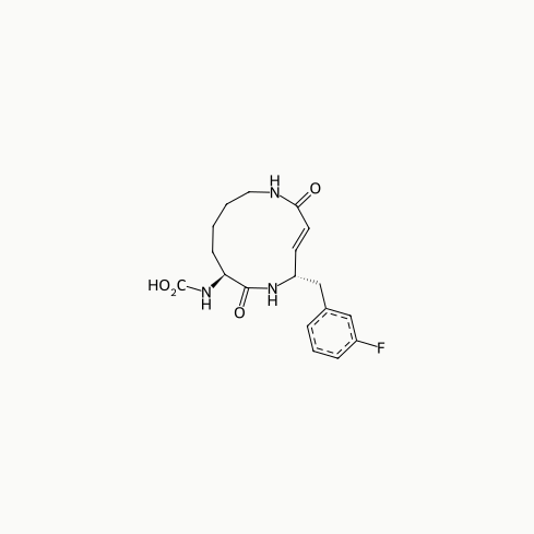 O=C(O)N[C@H]1CCCCNC(=O)/C=C/[C@H](Cc2cccc(F)c2)NC1=O